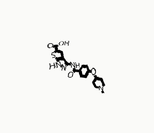 CN1CCC(Oc2ccc(C(=O)Nc3n[nH]c4sc(C(=O)O)cc34)cc2)CC1